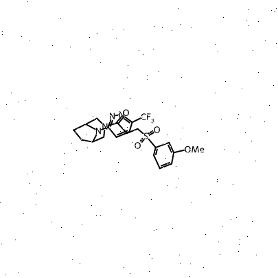 COc1cccc(S(=O)(=O)CCC(=O)N2CC3CCC(C2)N3c2ccc(C(F)(F)F)nn2)c1